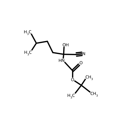 CC(C)CCC(O)(C#N)NC(=O)OC(C)(C)C